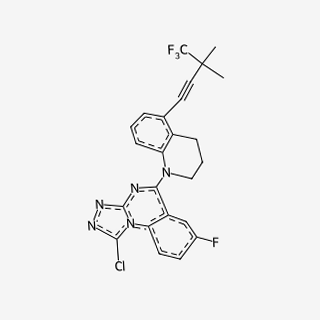 CC(C)(C#Cc1cccc2c1CCCN2c1nc2nnc(Cl)n2c2ccc(F)cc12)C(F)(F)F